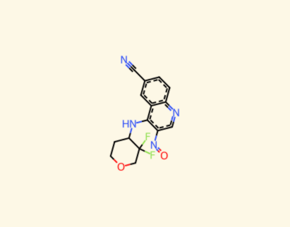 N#Cc1ccc2ncc(N=O)c(NC3CCOCC3(F)F)c2c1